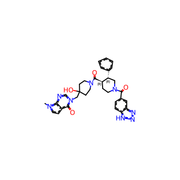 Cn1ccc2c(=O)n(CC3(O)CCN(C(=O)[C@@H]4CCN(C(=O)c5ccc6[nH]nnc6c5)C[C@H]4c4ccccc4)CC3)cnc21